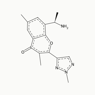 Cc1cc([C@@H](C)N)c2oc(-c3cnn(C)n3)c(C)c(=O)c2c1